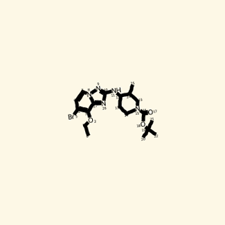 CCOc1c(Br)ccn2nc(NC3CCN(C(=O)OC(C)(C)C)CC3C)nc12